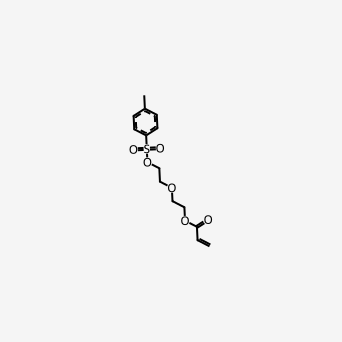 C=CC(=O)OCCOCCOS(=O)(=O)c1ccc(C)cc1